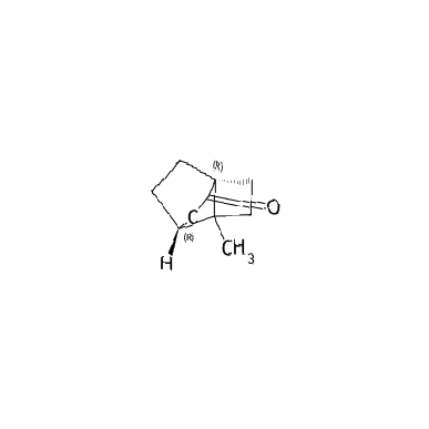 CC12CC[C@]13CC[C@@H]2CC3=O